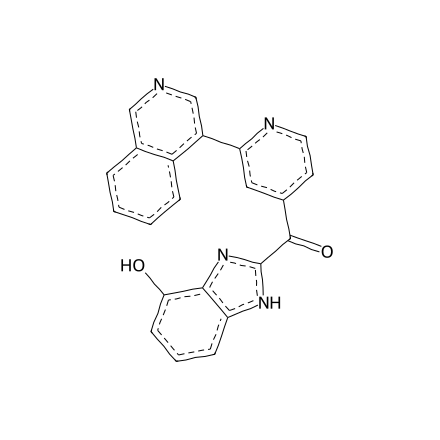 O=C(c1ccnc(-c2cncc3ccccc23)c1)c1nc2c(O)cccc2[nH]1